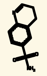 NS(=O)(=O)c1ccc2c(c1)CCC=N2